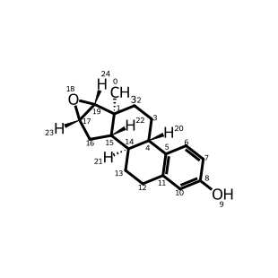 C[C@]12CC[C@@H]3c4ccc(O)cc4CC[C@H]3[C@@H]1C[C@@H]1O[C@@H]12